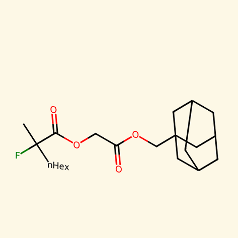 CCCCCCC(C)(F)C(=O)OCC(=O)OCC12CC3CC(CC(C3)C1)C2